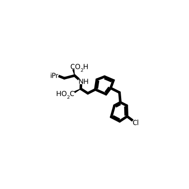 CC(C)C[C@H](N[C@@H](Cc1cccc(Cc2cccc(Cl)c2)c1)C(=O)O)C(=O)O